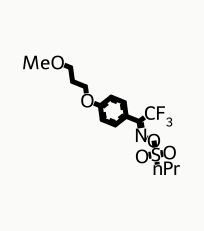 CCCS(=O)(=O)O/N=C(/c1ccc(OCCCOC)cc1)C(F)(F)F